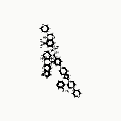 Cc1ccccc1[C@@H]1CN(C2CCOCC2)CCN1C1CC2(CCN(c3ccc(C(=O)NS(=O)(=O)c4cc5c(c([N+](=O)[O-])c4)N[C@H](C4CCOCC4)CO5)c(N4c5cc6cc[nH]c6nc5O[C@H]5COCC[C@@H]54)c3)CC2)C1